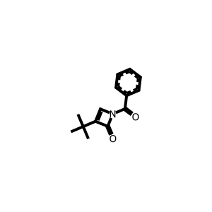 CC(C)(C)C1=CN(C(=O)c2ccccc2)C1=O